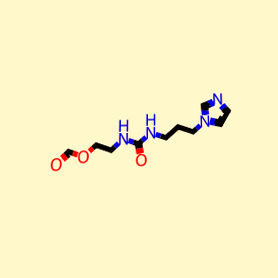 O=COCCNC(=O)NCCCn1ccnc1